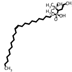 CCCCCCCCCCC/C=C\CCCCCCCCCOP(=O)(O)C(CCC)[N+](C)(C)C